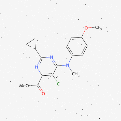 COC(=O)c1nc(C2CC2)nc(N(C)c2ccc(OC(F)(F)F)cc2)c1Cl